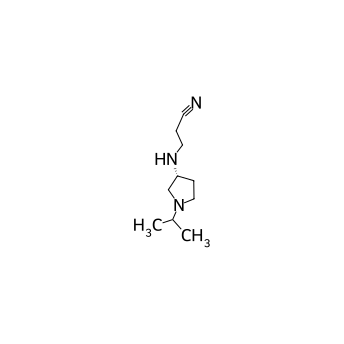 CC(C)N1CC[C@@H](NCCC#N)C1